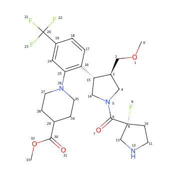 COC[C@H]1CN(C(=O)[C@@]2(F)CCNC2)C[C@@H]1c1ccc(C(F)(F)F)cc1N1CCC(C(=O)OC)CC1